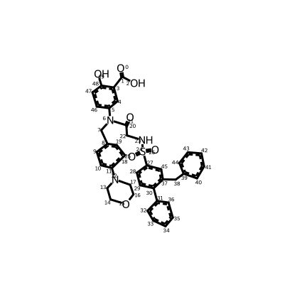 O=C(O)c1cc(N(Cc2ccc(N3CCOCC3)cc2)C(=O)CNS(=O)(=O)c2ccc(-c3ccccc3)c(Cc3ccccc3)c2)ccc1O